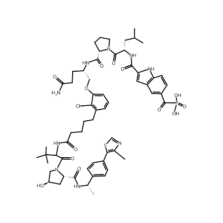 Cc1ncsc1-c1ccc([C@H](C)NC(=O)[C@@H]2C[C@@H](O)CN2C(=O)C(NC(=O)CCCCc2cccc(OC[C@H](CCC(N)=O)NC(=O)[C@@H]3CCCN3C(=O)[C@H](CC(C)C)NC(=O)c3cc4cc(C(=O)P(=O)(O)O)ccc4[nH]3)c2Cl)C(C)(C)C)cc1